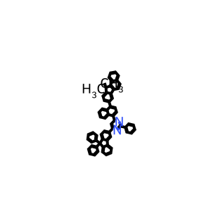 CC1(C)c2ccc(-c3ccc(-c4cc(-c5ccc6c(c5)-c5ccccc5C6(c5ccccc5)c5ccccc5)nc(-c5ccccc5)n4)c4ccccc34)cc2-c2ccc3ccccc3c21